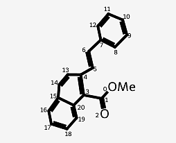 COC(=O)c1c(C=Cc2ccccc2)ccc2ccccc12